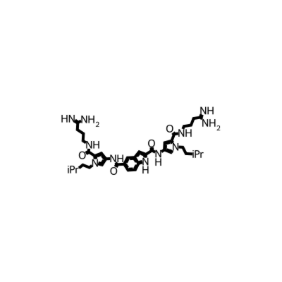 CC(C)CCn1cc(NC(=O)c2ccc3[nH]c(C(=O)Nc4cc(C(=O)NCCCC(=N)N)n(CCC(C)C)c4)cc3c2)cc1C(=O)NCCCC(=N)N